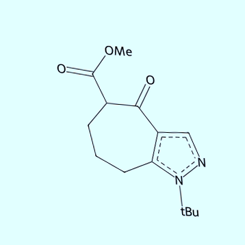 COC(=O)C1CCCc2c(cnn2C(C)(C)C)C1=O